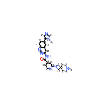 CN1CCC2(CC1)CN(c1cc(C(=O)Nc3cc4cc(-c5cncn5C)ccc4nn3)ccn1)C2